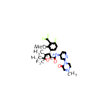 COc1c([C@@H]2[C@@H](C(=O)Nc3ccnc(N4CCN(C)CC4=O)c3)O[C@](C)(C(F)(F)F)[C@@H]2C)ccc(F)c1C(F)F